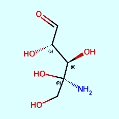 N[C@@](O)(CO)[C@H](O)[C@H](O)C=O